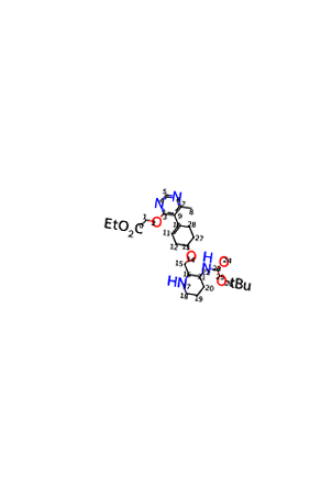 CCOC(=O)COc1ncnc(C)c1C1=CCC(OCC2NCCCC2NC(=O)OC(C)(C)C)CC1